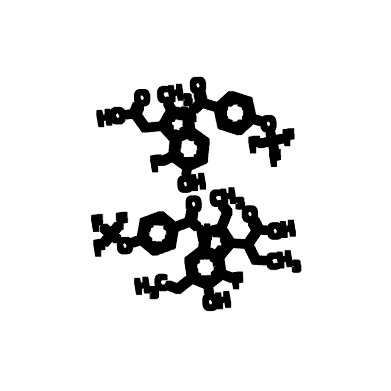 CCc1cc2c(c(F)c1O)c(C(CC)C(=O)O)c(CC)n2C(=O)c1ccc(OC(F)(F)F)cc1.Cc1c(CC(=O)O)c2c(F)c(O)ccc2n1C(=O)c1ccc(OC(F)(F)F)cc1